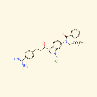 CCOC(=O)CN(C(=O)c1ccccc1)c1ccc2c(C(=O)CCc3ccc(C(=N)N)cc3)cn(C)c2c1.Cl